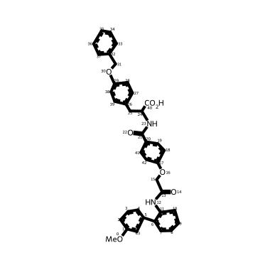 COc1cccc(-c2ccccc2NC(=O)COc2ccc(C(=O)NC(Cc3ccc(OCc4ccccc4)cc3)C(=O)O)cc2)c1